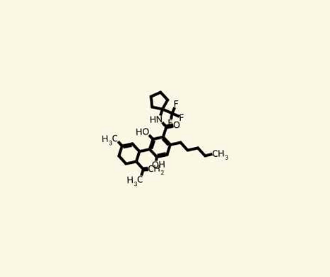 C=C(C)C1CCC(C)=CC1c1c(O)cc(CCCCC)c(C(=O)NC2(C(F)(F)F)CCCC2)c1O